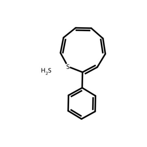 S.c1cccsc(-c2ccccc2)ccc1